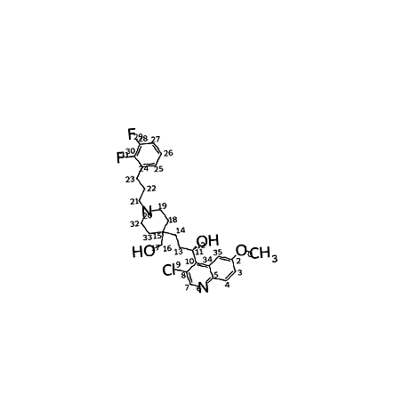 COc1ccc2ncc(Cl)c([C@H](O)CCC3(CO)CCN(CCCc4cccc(F)c4F)CC3)c2c1